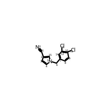 N#Cc1ccn(Cc2ccc(Cl)c(Cl)c2)c1